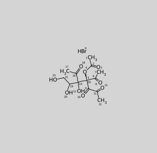 Br.CC(=O)O[C@@](C(C)=O)(C(=O)C(C)=O)C(O)(C(C)=O)C(O)CO